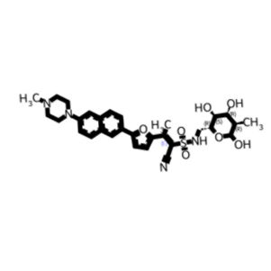 C/C(=C(/C#N)S(=O)(=O)NC[C@H]1OC(O)[C@H](C)[C@@H](O)[C@@H]1O)c1ccc(-c2ccc3cc(N4CCN(C)CC4)ccc3c2)o1